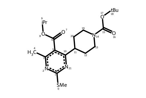 CSc1nc(C)c(C(=O)OC(C)C)c(C2CCN(C(=O)OC(C)(C)C)CC2)n1